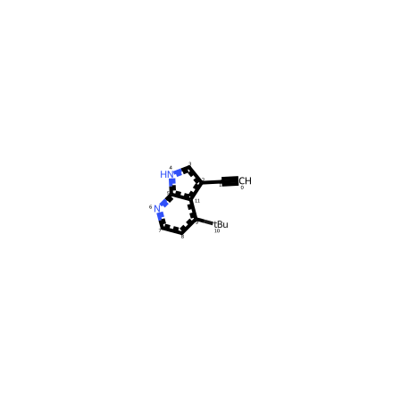 C#Cc1c[nH]c2nccc(C(C)(C)C)c12